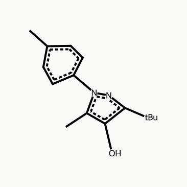 Cc1ccc(-n2nc(C(C)(C)C)c(O)c2C)cc1